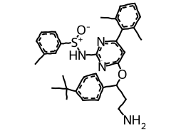 Cc1cccc([S+]([O-])Nc2nc(OC(CCN)c3ccc(C(C)(C)C)cc3)cc(-c3c(C)cccc3C)n2)c1